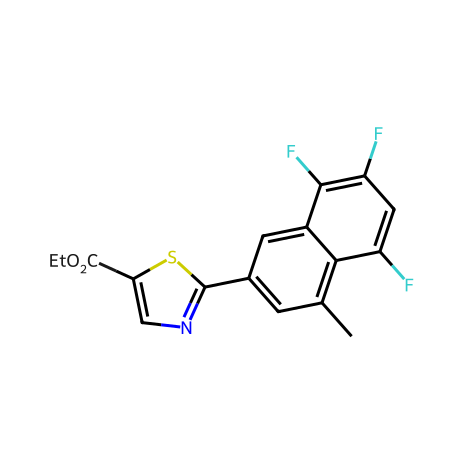 CCOC(=O)c1cnc(-c2cc(C)c3c(F)cc(F)c(F)c3c2)s1